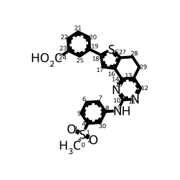 CS(=O)(=O)c1cccc(Nc2ncc3c(n2)-c2cc(-c4cccc(C(=O)O)c4)sc2CC3)c1